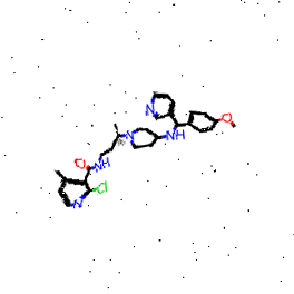 COc1ccc(C(NC2CCN([C@H](C)CCNC(=O)c3c(C)ccnc3Cl)CC2)c2cccnc2)cc1